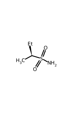 CC[C@H](C)S(N)(=O)=O